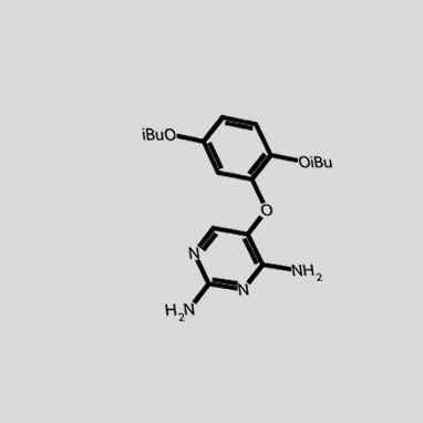 CC(C)COc1ccc(OCC(C)C)c(Oc2cnc(N)nc2N)c1